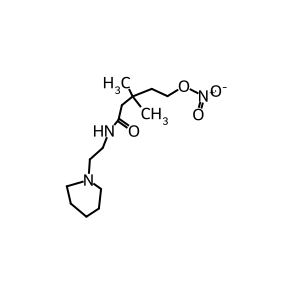 CC(C)(CCO[N+](=O)[O-])CC(=O)NCCN1CCCCC1